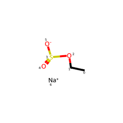 CCOS(=O)[O-].[Na+]